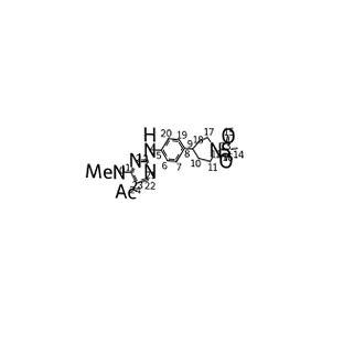 CNc1nc(Nc2ccc(C3CCN(S(C)(=O)=O)CC3)cc2)ncc1C(C)=O